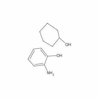 Nc1ccccc1O.OC1CCCCC1